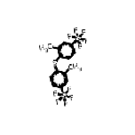 Cc1cc(S(F)(F)(F)(F)F)ccc1Sc1ccc(S(F)(F)(F)(F)F)cc1C